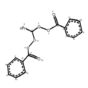 [CH2]CC[C](OOC(=O)c1ccccc1)OOC(=O)c1ccccc1